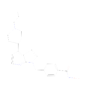 O=C(O)CCN1CCC(c2ccnc3c2ccn3Cc2ccc(C(=O)NO)cc2)CC1